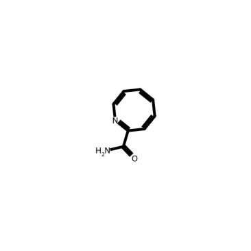 NC(=O)C1=NC=CC=CC=C1